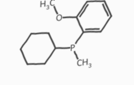 COc1ccccc1P(C)C1CCCCC1